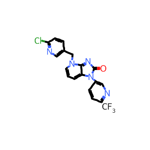 O=c1nc2n(Cc3ccc(Cl)nc3)cccc-2n1-c1ccc(C(F)(F)F)nc1